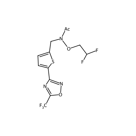 CC(=O)N(Cc1ccc(-c2noc(C(F)(F)F)n2)s1)OCC(F)F